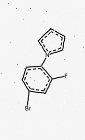 Fc1cc(Br)ccc1-n1cccc1